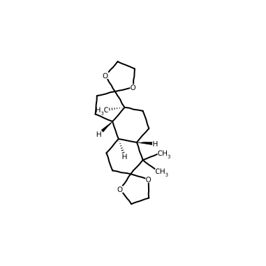 CC1(C)[C@H]2CC[C@@]3(C)[C@@H](CCC34OCCO4)[C@@H]2CCC12OCCO2